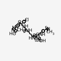 Cc1ncsc1-c1ccc(CNC(=O)[C@@H]2C[C@@H](O)CN2C(=O)C(NC(=O)CCCCCNC(=O)CCNCC(C(=O)N2CCN(c3ncnc4c3[C@H](C)C[C@H]4O)CC2)c2ccc(Cl)cc2)C(C)(C)C)cc1